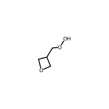 OOCC1COC1